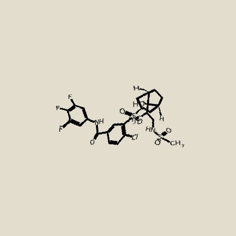 CC(CNS(C)(=O)=O)[C@@]1(O)[C@@H]2CC[C@H]1C[C@H](S(=O)(=O)c1cc(C(=O)Nc3cc(F)c(F)c(F)c3)ccc1Cl)C2